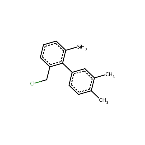 Cc1ccc(-c2c([SiH3])cccc2CCl)cc1C